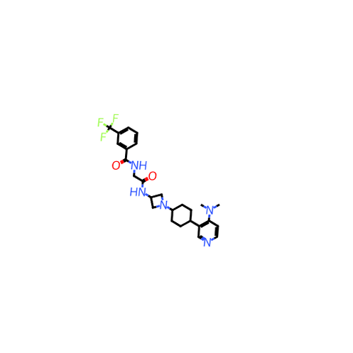 CN(C)c1ccncc1C1CCC(N2CC(NC(=O)CNC(=O)c3cccc(C(F)(F)F)c3)C2)CC1